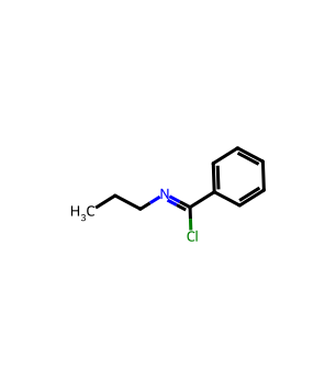 CCCN=C(Cl)c1ccccc1